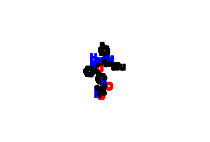 Cc1ccc(-n2nc(C(C)(C)C)cc2NC(=O)Nc2ccccc2CC2CCN(C(=O)c3conc3C)CC2)cc1